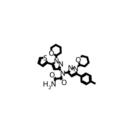 Cc1ccc(-c2cc(N(C(=O)C(N)=O)c3cc(-c4cccs4)n(C4CCCCO4)n3)nn2C2CCCCO2)cc1